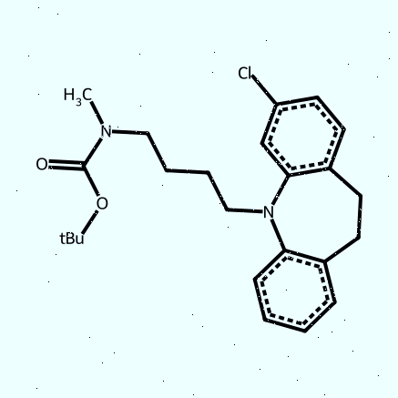 CN(CCCCN1c2ccccc2CCc2ccc(Cl)cc21)C(=O)OC(C)(C)C